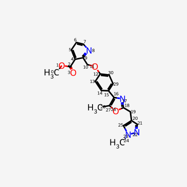 COC(=O)c1cccnc1COc1ccc(-c2nc(Cc3cnn(C)c3)oc2C)cc1